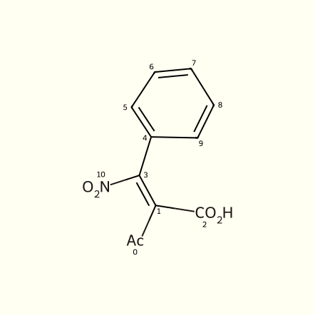 CC(=O)C(C(=O)O)=C(c1ccccc1)[N+](=O)[O-]